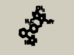 CCCc1nc2c(c(C)nn2C)n1Cc1ccc(-c2ccccc2-c2nnn[nH]2)cc1